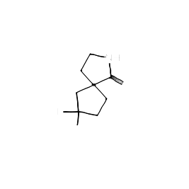 O=C1NCCC12CCC(F)(F)C2